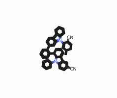 CC1C=C(n2c3ccccc3c3ccc(-c4ccccc4C4C=CC=C5c6cc(C#N)ccc6N(c6ccccc6)C54)cc32)C(C#N)=CC1